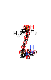 Cc1ccc(S(=O)(=O)O)c(C(C)OCCOCCOCCOCCS(=O)(=O)c2cccc3c2CN(C2CCC(=O)NC2=O)C3=O)c1